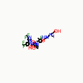 Cc1c(CN2C(=O)C(C(=O)Nc3ccc(C(C)(F)F)cc3-c3cc(C(C)(F)F)ncn3)=C(O)C3(CCC3)N2C)ccc(OCCNCCN(CI)CCCO)c1F